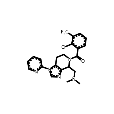 CN(C)CC1c2ncn(-c3ccccn3)c2CCN1C(=O)c1cccc(C(F)(F)F)c1Cl